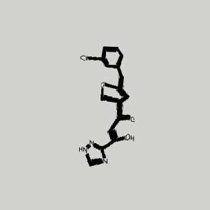 O=C(C=C(O)c1nc[nH]n1)c1coc(Cc2cccc(Cl)c2)c1